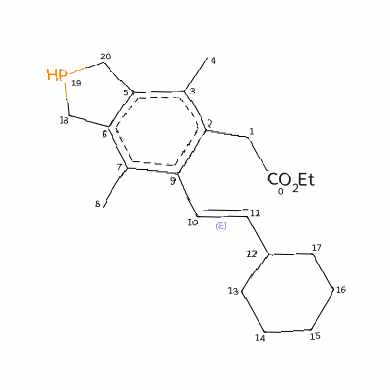 CCOC(=O)Cc1c(C)c2c(c(C)c1/C=C/C1CCCCC1)CPC2